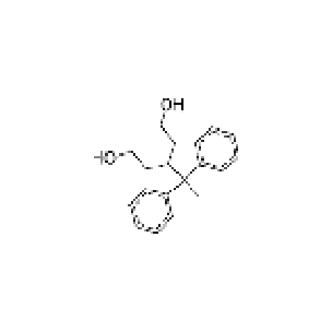 CC(c1ccccc1)(c1ccccc1)C(CCO)CCO